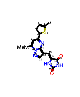 CNc1cc(C2CC=C(C)S2)nc2c(/C=C3\NC(=O)NC3=O)cnn12